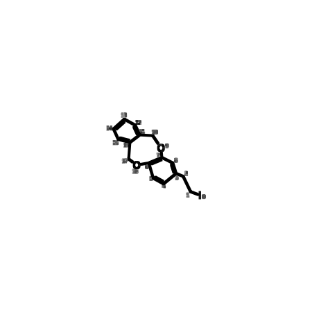 ICCc1ccc2c(c1)OCc1ccccc1CO2